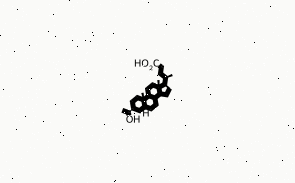 CC(O)[C@@H]1CC[C@]2(C)C3CC[C@@]4(C)C(CC[C@@H]4[C@H](C)CCC(=O)O)C3CC[C@@H]2C1